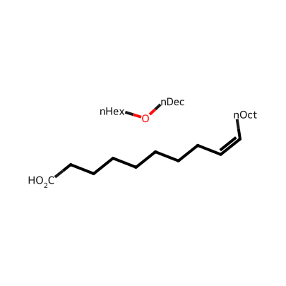 CCCCCCCC/C=C\CCCCCCCC(=O)O.CCCCCCCCCCOCCCCCC